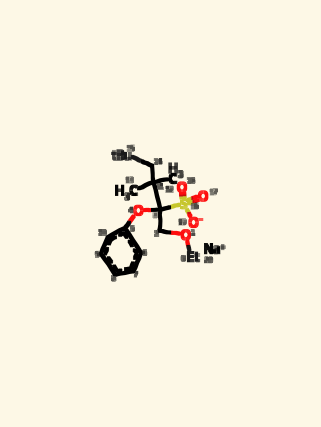 CCOCC(Oc1ccccc1)(C(C)(C)CC(C)(C)C)S(=O)(=O)[O-].[Na+]